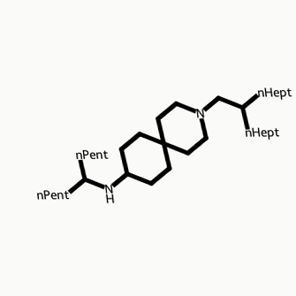 CCCCCCCC(CCCCCCC)CN1CCC2(CCC(NC(CCCCC)CCCCC)CC2)CC1